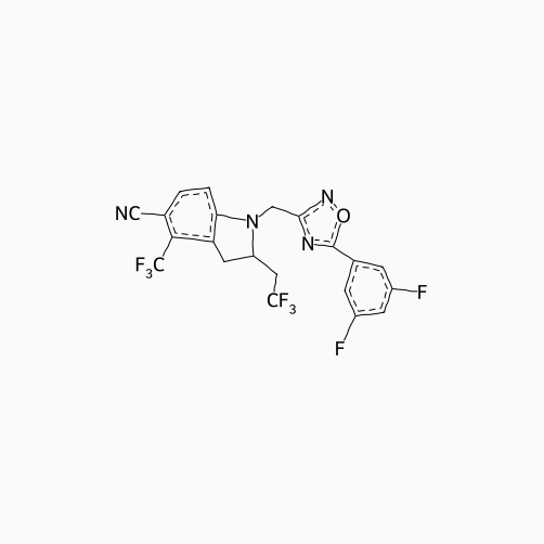 N#Cc1ccc2c(c1C(F)(F)F)CC(CC(F)(F)F)N2Cc1noc(-c2cc(F)cc(F)c2)n1